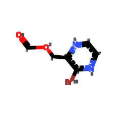 O=COCc1nccnc1Br